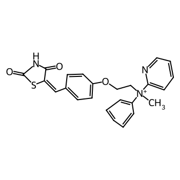 C[N+](CCOc1ccc(C=C2SC(=O)NC2=O)cc1)(c1ccccc1)c1ccccn1